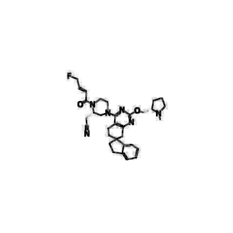 CN1CCC[C@H]1COc1nc2c(c(N3CCN(C(=O)/C=C/CF)[C@@H](CC#N)C3)n1)CCC1(CCc3ccccc31)C2